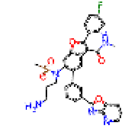 CNC(=O)c1c(-c2ccc(F)cc2)oc2cc(N(CCCN)S(C)(=O)=O)c(-c3cccc(-c4nc5ncccc5o4)c3)cc12